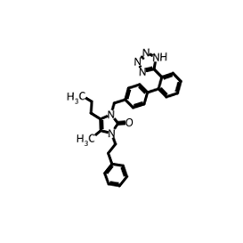 CCCc1c(C)n(CCc2ccccc2)c(=O)n1Cc1ccc(-c2ccccc2-c2nnn[nH]2)cc1